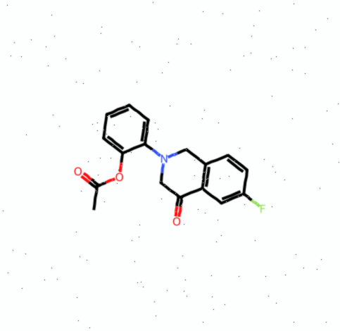 CC(=O)Oc1ccccc1N1CC(=O)c2cc(F)ccc2C1